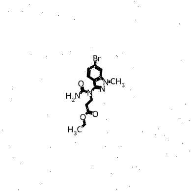 CCOC(=O)CCN(C(N)=O)c1nn(C)c2cc(Br)ccc12